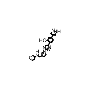 Oc1cc(-c2cn[nH]c2)ccc1-c1cnc(N2CCC(CNC3CCOC3)C2)nn1